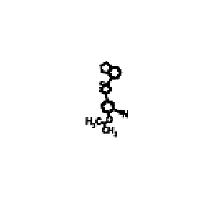 CC(C)Oc1ccc(-c2csc(-c3cccc4c3CCC4)c2)cc1C#N